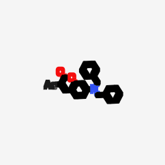 CC(=O)c1cc2ccc(N(Cc3ccccc3)Cc3ccccc3)cc2oc1=O